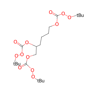 CC(C)(C)OOC(=O)OCCCCC(COC(=O)OOC(C)(C)C)OC(=O)OOC(C)(C)C